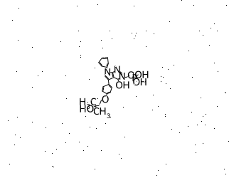 CC(C)(O)CCOc1ccc(-c2cn(-c3ccccc3)c3c2C(O)N(COP(O)O)C=N3)cc1